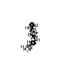 Cn1c(Nc2ccc(/C(=N/N)NN)cc2)nc2c1c(=O)n(Cc1cc3c(Cl)cccc3[nH]1)c(=O)n2C